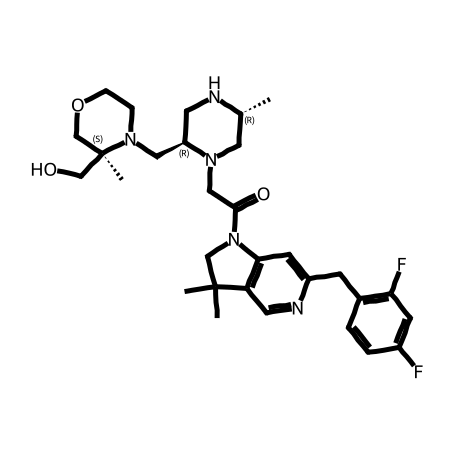 C[C@@H]1CN(CC(=O)N2CC(C)(C)c3cnc(Cc4ccc(F)cc4F)cc32)[C@@H](CN2CCOC[C@]2(C)CO)CN1